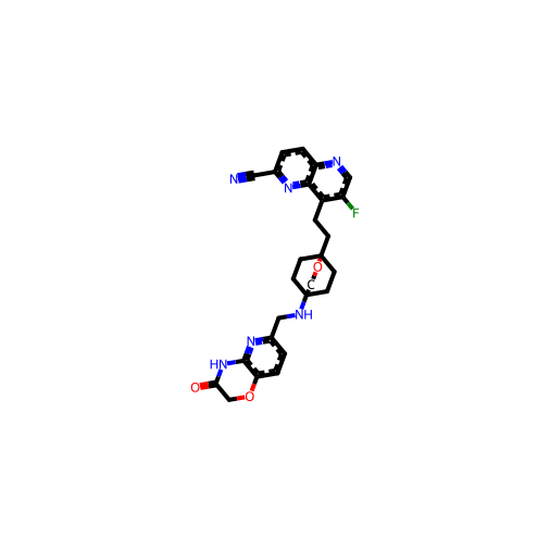 N#Cc1ccc2ncc(F)c(CCC34CCC(NCc5ccc6c(n5)NC(=O)CO6)(CC3)CO4)c2n1